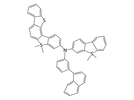 CS1(C)c2ccccc2-c2ccc(N(c3cccc(-c4cccc5ccccc45)c3)c3ccc4c(c3)S(C)(C)c3ccc5c(sc6ccccc65)c3-4)cc21